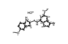 COc1ccc2[nH]c(CNc3nc(SC)nc4c(Br)cnn34)nc2c1.Cl